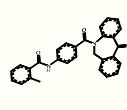 Cc1ccccc1C(=O)Nc1ccc(C(=O)N2Cc3ccccc3C(=O)c3ccccc32)cc1